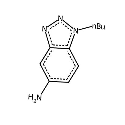 CCCCn1nnc2cc(N)ccc21